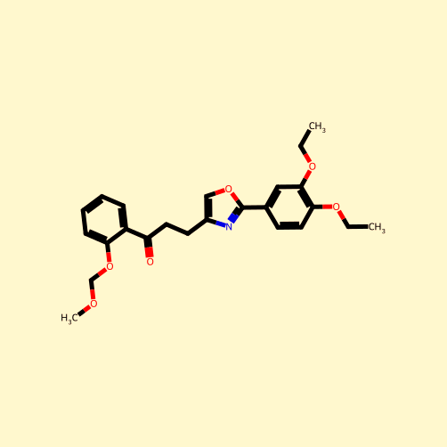 CCOc1ccc(-c2nc(CCC(=O)c3ccccc3OCOC)co2)cc1OCC